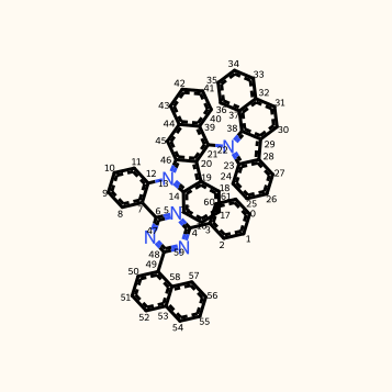 c1ccc(-c2nc(-c3ccccc3-n3c4ccccc4c4c(-n5c6ccccc6c6ccc7ccccc7c65)c5ccccc5cc43)nc(-c3cccc4ccccc34)n2)cc1